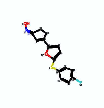 O/N=C1/C=C(c2ccc(Sc3ccc(F)cc3)o2)CC1